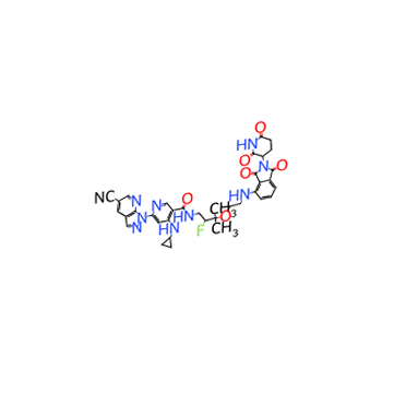 CC(C)(OCCNc1cccc2c1C(=O)N(C1CCC(=O)NC1=O)C2=O)C(F)CNC(=O)c1cnc(-n2ncc3cc(C#N)cnc32)cc1NC1CC1